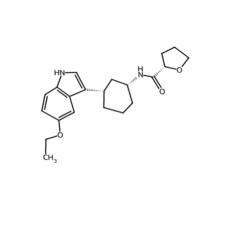 CCOc1ccc2[nH]cc([C@H]3CCC[C@@H](NC(=O)[C@@H]4CCCO4)C3)c2c1